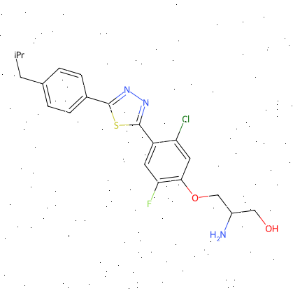 CC(C)Cc1ccc(-c2nnc(-c3cc(F)c(OCC(N)CO)cc3Cl)s2)cc1